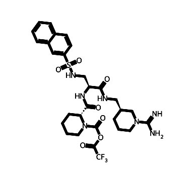 N=C(N)N1CCC[C@@H](CNC(=O)[C@H](CNS(=O)(=O)c2ccc3ccccc3c2)NC(=O)[C@H]2CCCCN2C(=O)OC(=O)C(F)(F)F)C1